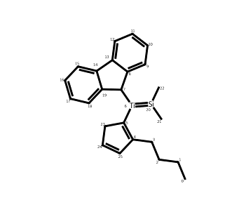 CCCCC1=[C]([Ti]([CH]2c3ccccc3-c3ccccc32)=[Si](C)C)CC=C1